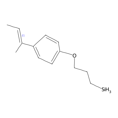 C/C=C(\C)c1ccc(OCCC[SiH3])cc1